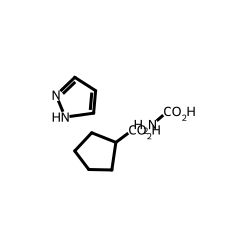 NC(=O)O.O=C(O)C1CCCC1.c1cn[nH]c1